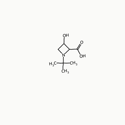 CC(C)(C)N1CC(O)C1C(=O)O